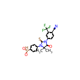 CC1(C)C(=O)N(c2ccc(C#N)c(C(F)(F)F)c2)C(=S)N1c1ccc([SH](=O)=O)cc1